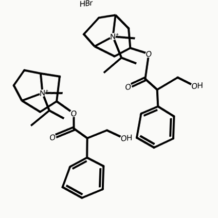 Br.CC(C)[N+]1(C)C2CCC1CC(OC(=O)C(CO)c1ccccc1)C2.CC(C)[N+]1(C)C2CCC1CC(OC(=O)C(CO)c1ccccc1)C2